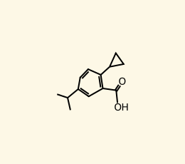 CC(C)c1ccc(C2CC2)c(C(=O)O)c1